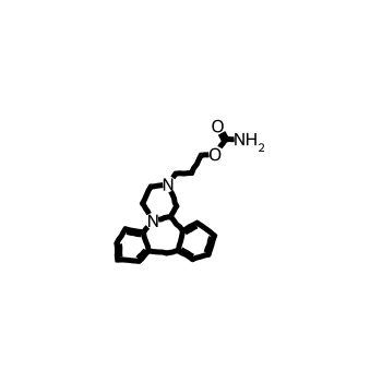 NC(=O)OCCCN1CCN2c3ccccc3Cc3ccccc3C2C1